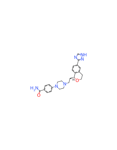 NC(=O)c1ccc(N2CCN(CC[C@@H]3OCCc4cc(-c5nc[nH]n5)ccc43)CC2)cc1